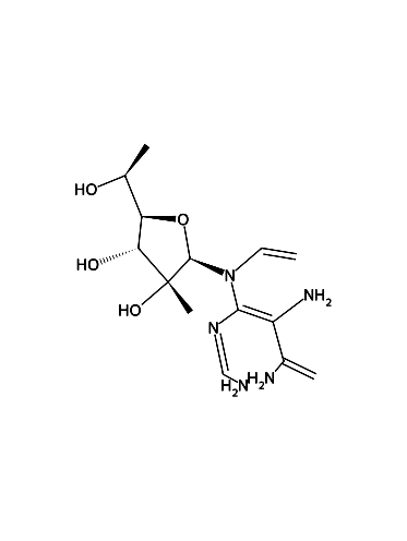 C=CN(C(/N=C\N)=C(\N)C(=C)N)[C@@H]1O[C@H]([C@H](C)O)[C@@H](O)[C@@]1(C)O